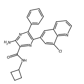 Nc1nc(-c2ccccc2)c(-c2cc(Cl)c3ncccc3c2)nc1C(=O)NC1CCC1